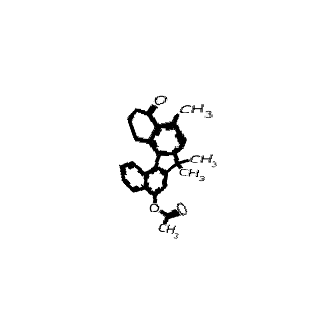 CC(=O)Oc1cc2c(c3ccccc13)-c1c(cc(C)c3c1CCCC3=O)C2(C)C